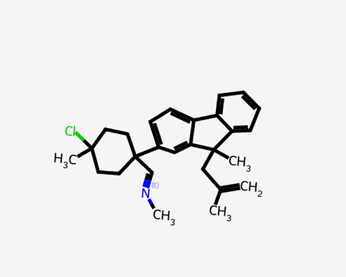 C=C(C)CC1(C)c2ccccc2-c2ccc(C3(/C=N/C)CCC(C)(Cl)CC3)cc21